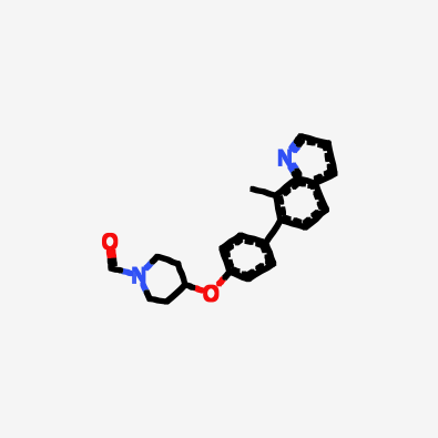 Cc1c(-c2ccc(OC3CCN(C=O)CC3)cc2)ccc2cccnc12